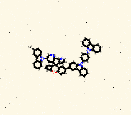 N#Cc1ccc2c(c1)c1ccccc1n2-c1cnc2c(c1)C1(c3ccccc3Oc3ccc(-c4ccc5c(c4)c4ccccc4n5-c4ccc(-n5c6ccccc6c6ccccc65)cc4)cc31)c1cccnc1-2